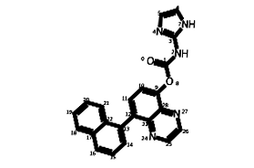 O=C(Nc1ncc[nH]1)Oc1ccc(-c2cccc3ccccc23)c2nccnc12